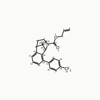 C=CCOC(=O)N1CCC2c3cccc(-c4ccc(C(F)(F)F)cc4)c3C1[C@H]2C